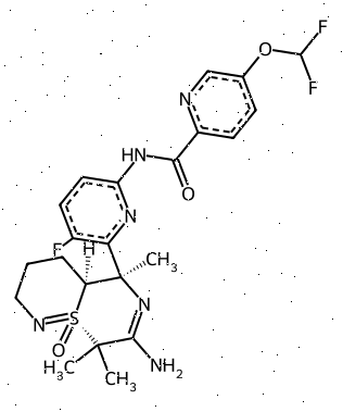 CC1(C)C(N)=N[C@](C)(c2nc(NC(=O)c3ccc(OC(F)F)cn3)ccc2F)[C@@H]2CCCN=[S@]21=O